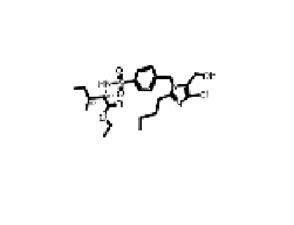 CCCCc1nc(Cl)c(CO)n1Cc1ccc(S(=O)(=O)N[C@H](C(=O)OCC)[C@@H](C)CC)cc1